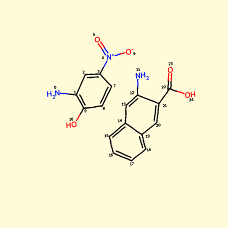 Nc1cc([N+](=O)[O-])ccc1O.Nc1cc2ccccc2cc1C(=O)O